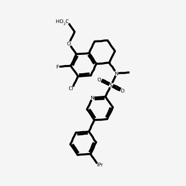 CC(C)c1cccc(-c2ccc(S(=O)(=O)N(C)C3CCCc4c3cc(Cl)c(F)c4OCC(=O)O)nc2)c1